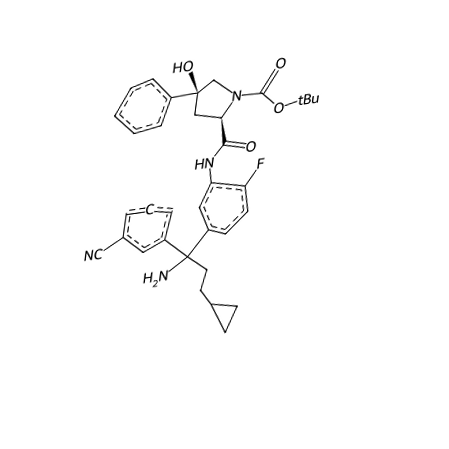 CC(C)(C)OC(=O)N1C[C@@](O)(c2ccccc2)C[C@@H]1C(=O)Nc1cc(C(N)(CCC2CC2)c2cccc(C#N)c2)ccc1F